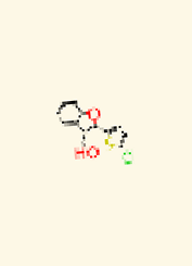 OCc1c(-c2ccc(Cl)s2)oc2ccccc12